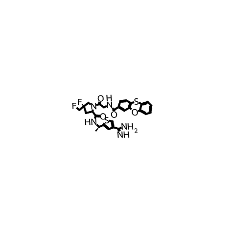 C[C@@H](NC(=O)C1C[C@](F)(CF)CN1C(=O)CNC(=O)c1ccc2c(c1)Oc1ccccc1S2)c1cc(C(=N)N)cs1